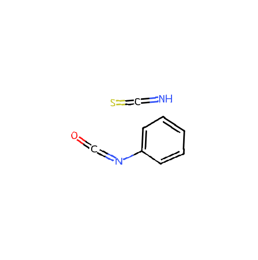 N=C=S.O=C=Nc1ccccc1